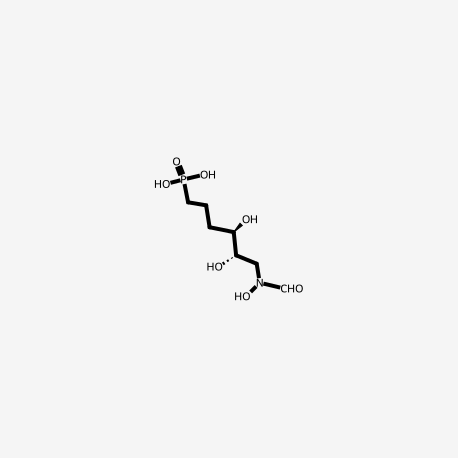 O=CN(O)C[C@H](O)[C@H](O)CCCP(=O)(O)O